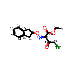 CCOC(=O)/C(=N\OC1Cc2ccccc2C1)C(=O)CBr